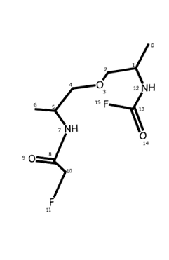 CC(COCC(C)NC(=O)CF)NC(=O)F